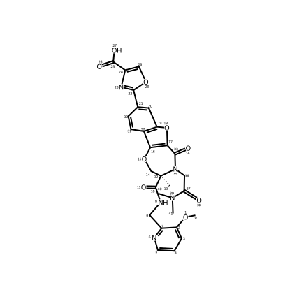 COc1cccnc1CNC(=O)[C@@]1(C)COc2c(oc3cc(-c4nc(C(=O)O)co4)ccc23)C(=O)N1CC(=O)N(C)C